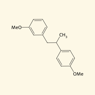 COc1ccc(C(C)Cc2cccc(OC)c2)cc1